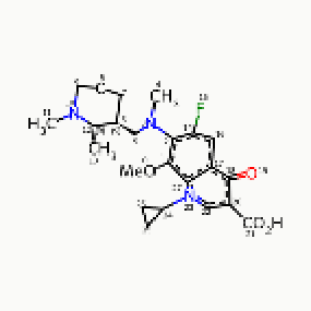 COc1c(N(C)C[C@@H]2CCCN(C)[C@@H]2C)c(F)cc2c(=O)c(C(=O)O)cn(C3CC3)c12